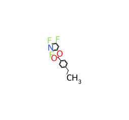 CCCc1ccc(C(=O)Oc2cc(F)c(F)nc2F)cc1